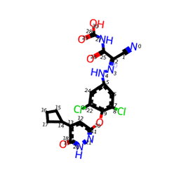 N#C/C(=N/Nc1cc(Cl)c(Oc2cc(C3CCC3)c(=O)[nH]n2)c(Cl)c1)C(=O)NC(=O)O